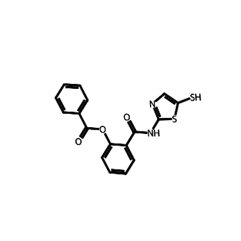 O=C(Oc1ccccc1C(=O)Nc1ncc(S)s1)c1ccccc1